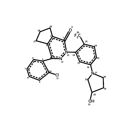 O=c1c2c(c(-c3ccccc3Cl)nn1-c1cc(N3CCC(O)C3)ccc1C(F)(F)F)CCC2